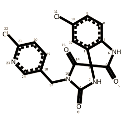 O=C1NC2(C(=O)Nc3ccc(Cl)cc32)C(=O)N1Cc1ccc(Cl)nc1